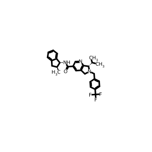 CC(C)[C@H]1c2ncc(C(=O)N[C@H]3c4ccccc4C[C@@H]3C)cc2CN1Cc1ccc(C(F)(F)F)cc1